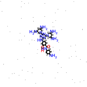 Nc1ccc(NC(=O)c2ccc(Nc3nc(N4C[C@H](N)C[C@H](N)C4)nc(N4C[C@H](N)C[C@H](N)C4)n3)cc2O)cc1